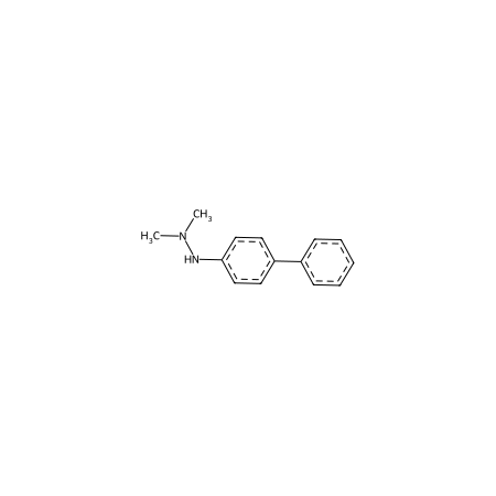 CN(C)Nc1ccc(-c2ccccc2)cc1